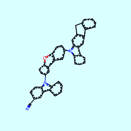 N#Cc1ccc2c(c1)c1ccccc1n2-c1ccc2oc3ccc(-n4c5ccccc5c5cc6c(cc54)Cc4ccccc4-6)cc3c2c1